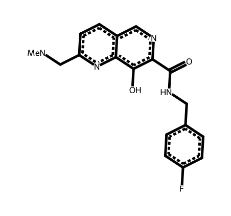 CNCc1ccc2cnc(C(=O)NCc3ccc(F)cc3)c(O)c2n1